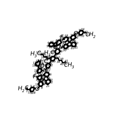 C=Cc1ccc(Oc2ccc(C3(c4ccc(F)cc4)c4ccccc4-c4ccc(N(c5ccc(-c6cc(CCCCCC)c(-c7ccc(N(c8ccc9c(c8)C(c8ccc(F)cc8)(c8ccc(Oc%10ccc(C=C)cc%10)cc8)c8ccccc8-9)c8cccc9c8oc8ccccc89)cc7C)cc6CCCCCC)c(C)c5)c5cccc6c5oc5ccccc56)cc43)cc2)cc1